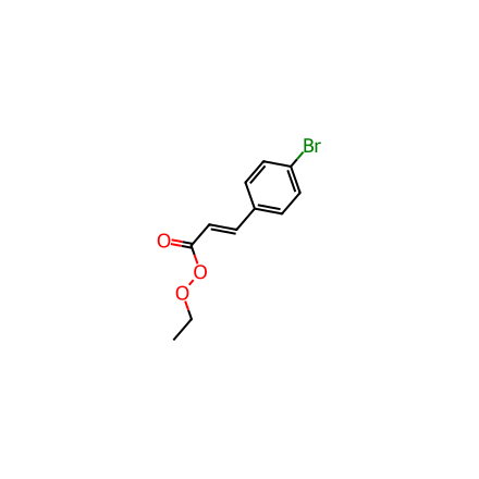 CCOOC(=O)/C=C/c1ccc(Br)cc1